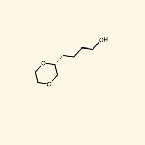 OCCCC[C@@H]1COCCO1